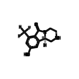 O=C1c2c(cc(O)cc2C(F)(F)F)[C@@H]2CNCCN12